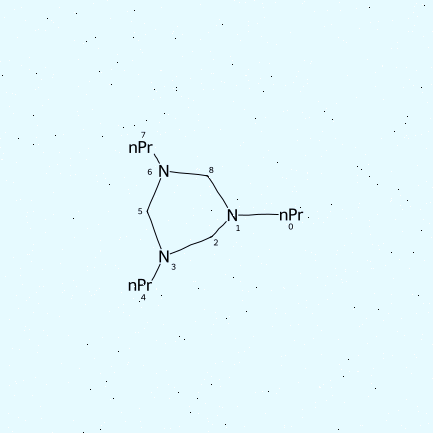 CCCN1CN(CCC)CN(CCC)C1